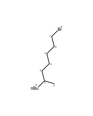 CCCCC(C)CCCCCBr